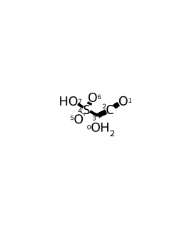 O.O=C=CS(=O)(=O)O